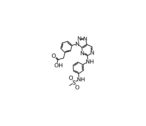 CS(=O)(=O)Nc1cccc(Nc2ncc3nnn(-c4cccc(CC(=O)O)c4)c3n2)c1